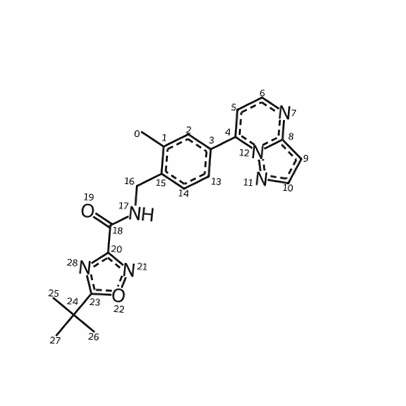 Cc1cc(-c2ccnc3ccnn23)ccc1CNC(=O)c1noc(C(C)(C)C)n1